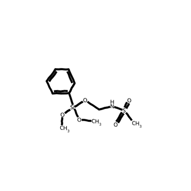 CO[Si](OC)(OCNS(C)(=O)=O)c1ccccc1